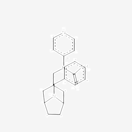 O=C(O)N(CC1CC2CCC(C1)N2Cc1ccccc1)c1ccncc1